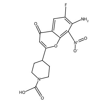 Nc1c(F)cc2c(=O)cc(C3CCN(C(=O)O)CC3)oc2c1[N+](=O)[O-]